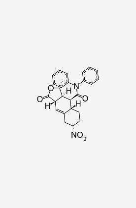 C[C@H]1OC(=O)[C@H]2C=C3C[C@@H]([N+](=O)[O-])CC[C@H]3[C@H](C(=O)N(c3ccccc3)c3ccccc3)[C@@H]21